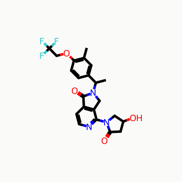 Cc1cc(C(C)N2Cc3c(ccnc3N3CC(O)CC3=O)C2=O)ccc1OCC(F)(F)F